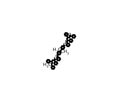 C\C(=C/C(=C\C(=N\c1ccccc1Oc1ccc(C(C)(C)c2ccc(Oc3ccccc3/N=C(/C=C(\C=C(/O)c3ccccc3)c3ccccc3)c3ccccc3)cc2)cc1)c1ccccc1)c1ccccc1)c1ccccc1